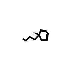 CCCCC1(Cl)C=CC=CC1